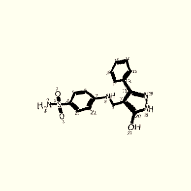 NS(=O)(=O)c1ccc(NCc2c(-c3ccccc3)n[nH]c2O)cc1